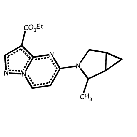 CCOC(=O)c1cnn2ccc(N3CC4CC4C3C)nc12